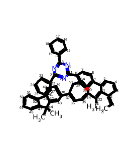 C/C=c1/cccc(-c2ccc(-c3nc(-c4ccccc4)nc(-c4ccccc4)n3)cc2)/c1=C(/C)C1=CC=C(c2ccc3c(c2)C(C)(C)c2ccccc2-3)CCC1